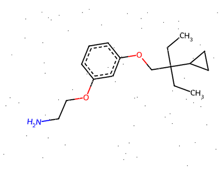 CCC(CC)(COc1cccc(OCCN)c1)C1CC1